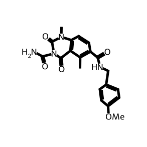 COc1ccc(CNC(=O)c2ccc3c(c2C)c(=O)n(C(N)=O)c(=O)n3C)cc1